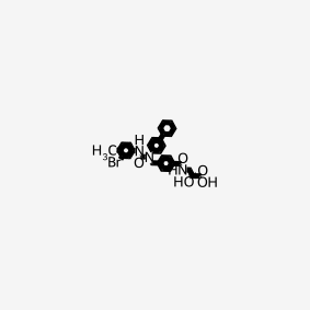 Cc1ccc(NC(=O)N(Cc2ccc(C(=O)NC[C@@H](O)C(=O)O)cc2)c2ccc(C3CCCCC3)cc2)cc1Br